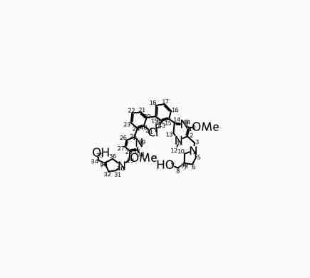 COC1=C(CN2CC[C@@H](CO)C2)N(C)CC(c2cccc(-c3cccc(-c4ccc(CN5CC[C@@H](CO)C5)c(OC)n4)c3Cl)c2F)=N1